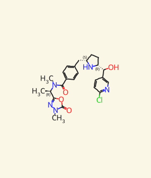 C[C@H](c1nn(C)c(=O)o1)N(C)C(=O)c1ccc(C[C@@H]2CC[C@H](C(O)c3ccc(Cl)nc3)N2)cc1